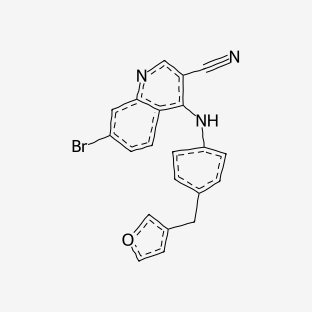 N#Cc1cnc2cc(Br)ccc2c1Nc1ccc(Cc2ccoc2)cc1